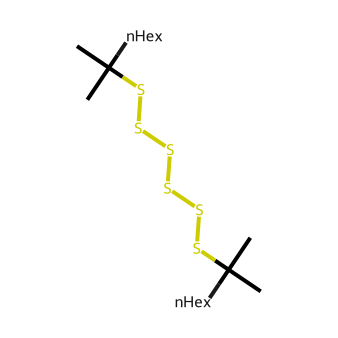 CCCCCCC(C)(C)SSSSSSC(C)(C)CCCCCC